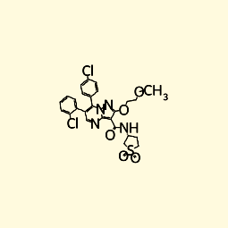 COCCOc1nn2c(-c3ccc(Cl)cc3)c(-c3ccccc3Cl)cnc2c1C(=O)N[C@@H]1CCS(=O)(=O)C1